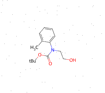 Cc1ccccc1N(CCO)C(=O)OC(C)(C)C